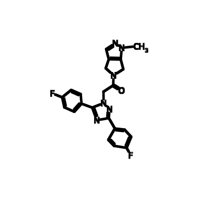 Cn1ncc2c1CN(C(=O)Cn1nc(-c3ccc(F)cc3)nc1-c1ccc(F)cc1)C2